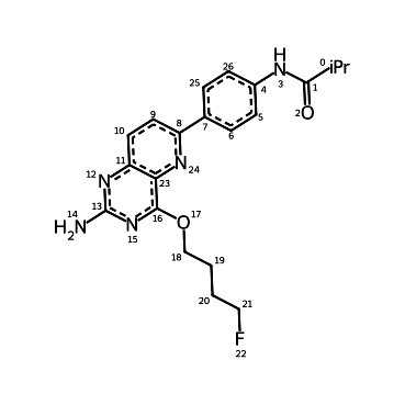 CC(C)C(=O)Nc1ccc(-c2ccc3nc(N)nc(OCCCCF)c3n2)cc1